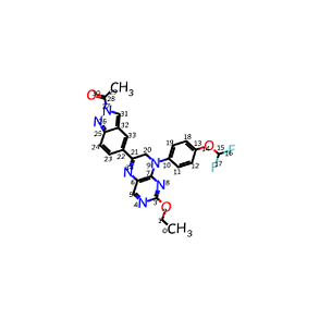 CCOc1ncc2c(n1)N(c1ccc(OC(F)F)cc1)CC(c1ccc3nn(C(C)=O)cc3c1)=N2